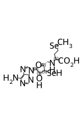 C[Se]CC[C@H](NC[C@H]1O[C@@H](n2cnc3c(N)ncnc32)[C@H](O)[C@@H]1[SeH])C(=O)O